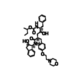 CCC(C)OC(=O)N[C@@H](Cc1ccccc1)[C@@H](O)C[C@@H](Cc1ccc(OCCN2CCOCC2)cc1)C(=O)N[C@H]1c2ccccc2C[C@H]1O